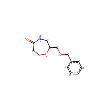 O=C1CCO[C@H](COCc2ccccc2)CN1